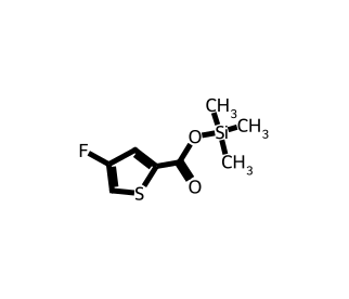 C[Si](C)(C)OC(=O)c1cc(F)cs1